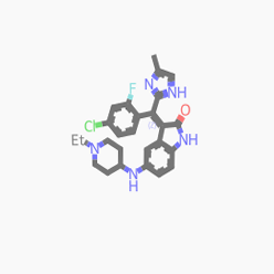 CCN1CCC(Nc2ccc3c(c2)/C(=C(/c2nc(C)c[nH]2)c2ccc(Cl)cc2F)C(=O)N3)CC1